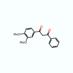 COc1ccc(C(=O)CC(=O)c2ccccc2)cc1OC